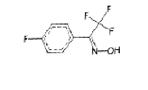 O/N=C(/c1ccc(F)cc1)C(F)(F)F